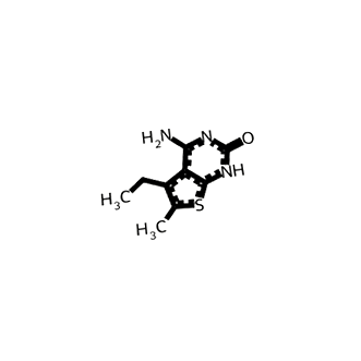 CCc1c(C)sc2[nH]c(=O)nc(N)c12